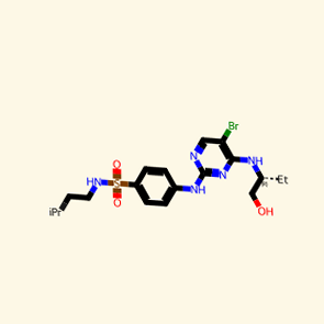 CC[C@H](CO)Nc1nc(Nc2ccc(S(=O)(=O)NCCC(C)C)cc2)ncc1Br